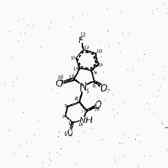 O=C1CCC(N2C(=O)c3[c]cc(F)cc3C2=O)C(=O)N1